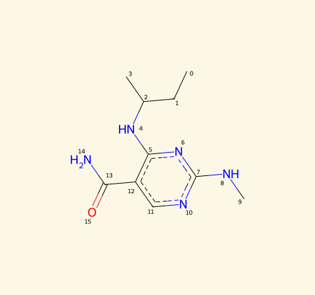 CCC(C)Nc1nc(NC)ncc1C(N)=O